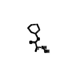 C[C@H](NO)C(=O)OC1CCCCC1